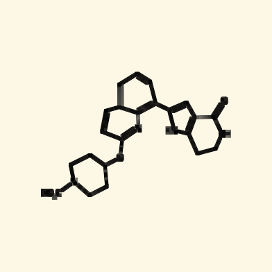 O=C1NCCc2[nH]c(-c3cccc4ccc(OC5CCN(C(=O)O)CC5)nc34)cc21